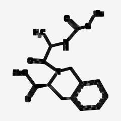 COC(=O)[C@@H]1Cc2ccccc2CN1C(=O)C(C)NC(=O)OC(C)(C)C